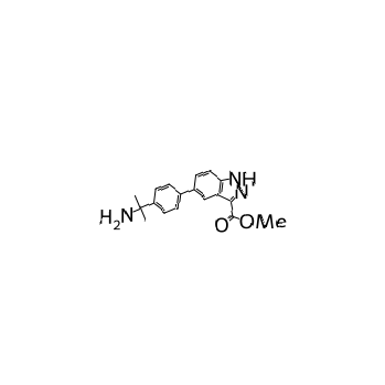 COC(=O)c1n[nH]c2ccc(-c3ccc(C(C)(C)N)cc3)cc12